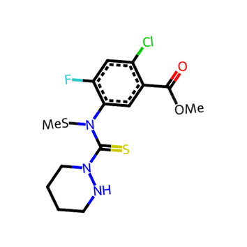 COC(=O)c1cc(N(SC)C(=S)N2CCCCN2)c(F)cc1Cl